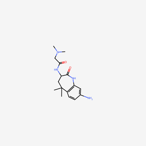 CN(C)CC(=O)NC1CC(C)(C)c2ccc(N)cc2NC1=O